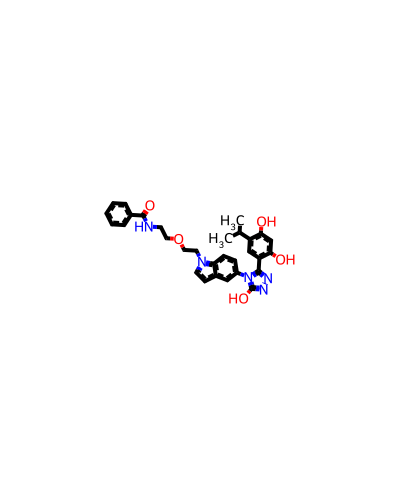 CC(C)c1cc(-c2nnc(O)n2-c2ccc3c(ccn3CCOCCNC(=O)c3ccccc3)c2)c(O)cc1O